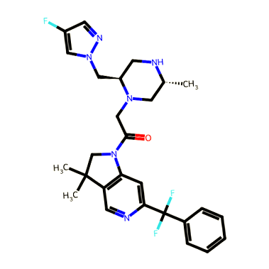 C[C@@H]1CN(CC(=O)N2CC(C)(C)c3cnc(C(F)(F)c4ccccc4)cc32)[C@@H](Cn2cc(F)cn2)CN1